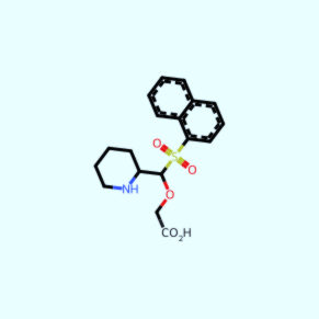 O=C(O)COC(C1CCCCN1)S(=O)(=O)c1cccc2ccccc12